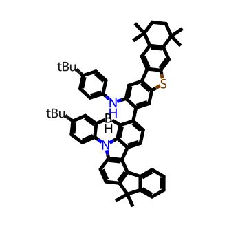 CC(C)(C)c1ccc(Nc2cc3c(cc2-c2ccc4c5c6c(ccc5n5c4c2Bc2cc(C(C)(C)C)ccc2-5)C(C)(C)c2ccccc2-6)sc2cc4c(cc23)C(C)(C)CCC4(C)C)cc1